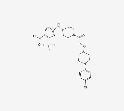 O=[N+]([O-])c1ccc(NC2CCN(C(=S)COC3CCN(c4ccc(O)cc4)CC3)CC2)cc1C(F)(F)F